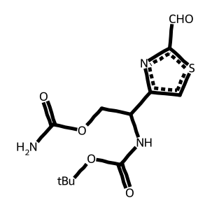 CC(C)(C)OC(=O)NC(COC(N)=O)c1csc(C=O)n1